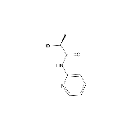 C[C@H](O)C(=O)Nc1ccccn1